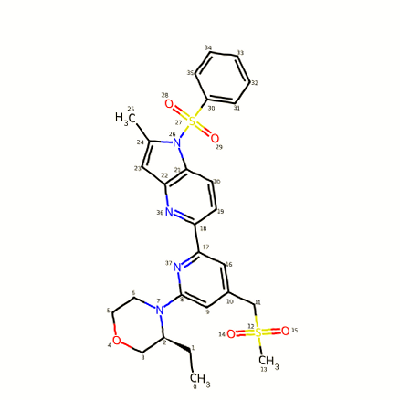 CC[C@H]1COCCN1c1cc(CS(C)(=O)=O)cc(-c2ccc3c(cc(C)n3S(=O)(=O)c3ccccc3)n2)n1